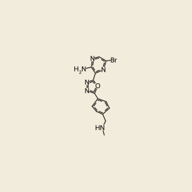 CNCc1ccc(-c2nnc(-c3nc(Br)cnc3N)o2)cc1